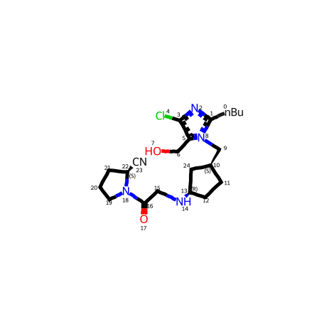 CCCCc1nc(Cl)c(CO)n1C[C@H]1CC[C@@H](NCC(=O)N2CCC[C@H]2C#N)C1